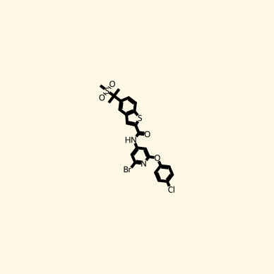 CC(C)(c1ccc2sc(C(=O)Nc3cc(Br)nc(Oc4ccc(Cl)cc4)c3)cc2c1)S(C)(=O)=O